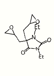 CCN1C(=O)N(CC)C(CC2CO2)(CC2CO2)C1=O